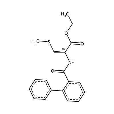 CCOC(=O)[C@H](CSC)NC(=O)c1ccccc1-c1ccccc1